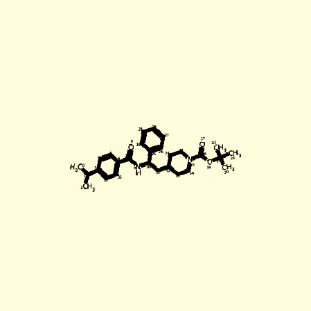 CC(C)c1ccc(C(=O)NC(CC2CCN(C(=O)OC(C)(C)C)CC2)c2ccccc2)cc1